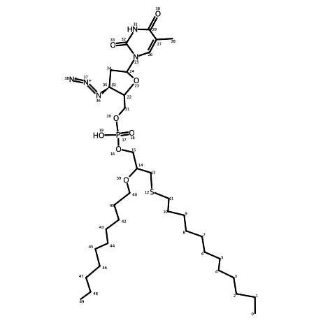 CCCCCCCCCCCCSCC(COP(=O)(O)OCC1OC(n2cc(C)c(=O)[nH]c2=O)C[C@@H]1N=[N+]=[N-])OCCCCCCCCCC